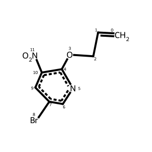 C=CCOc1ncc(Br)cc1[N+](=O)[O-]